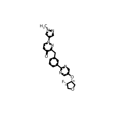 Cn1cc(-n2ccc(=O)c(Cc3cccc(-c4ncc(O[C@@H]5COC[C@@H]5F)cn4)c3)n2)cn1